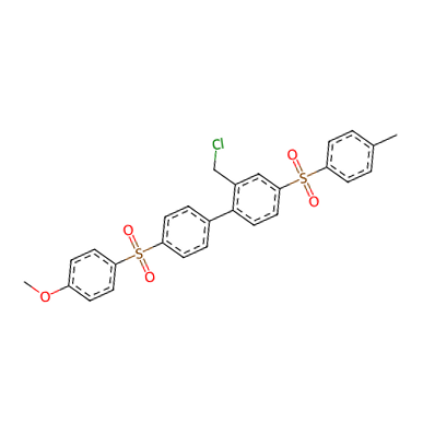 COc1ccc(S(=O)(=O)c2ccc(-c3ccc(S(=O)(=O)c4ccc(C)cc4)cc3CCl)cc2)cc1